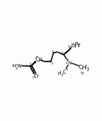 CCCC(CCOC(N)=O)N(C)C